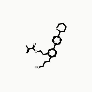 C=C(C)C(=O)OCCc1cc(-c2ccc(C3CCCCO3)cc2)ccc1CCCO